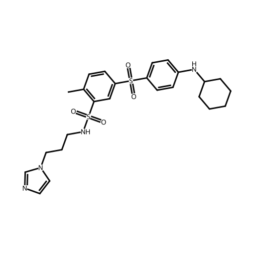 Cc1ccc(S(=O)(=O)c2ccc(NC3CCCCC3)cc2)cc1S(=O)(=O)NCCCn1ccnc1